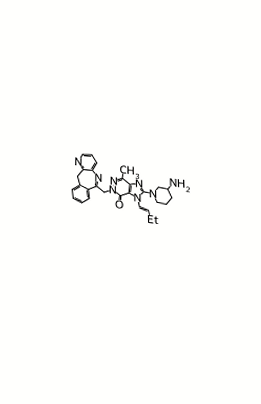 CC/C=C/n1c(N2CCCC(N)C2)nc2c(C)nn(CC3=Nc4cccnc4Cc4ccccc43)c(=O)c21